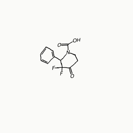 O=C(O)N1CCC(=O)C(F)(F)C1c1ccccc1